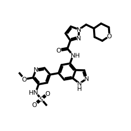 COc1ncc(-c2cc(NC(=O)c3ccn(CC4CCOCC4)n3)c3cn[nH]c3c2)cc1NS(C)(=O)=O